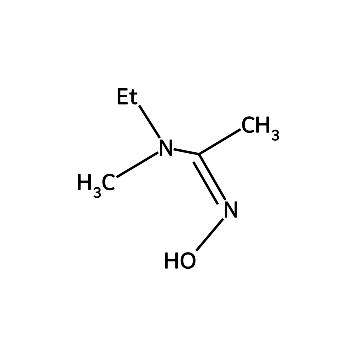 CCN(C)/C(C)=N\O